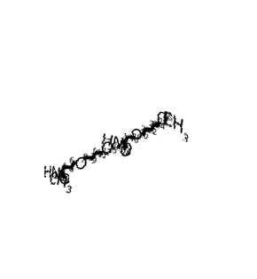 CNC(=O)CCCOCCCCOCNC(=O)CCOCCCCCOC